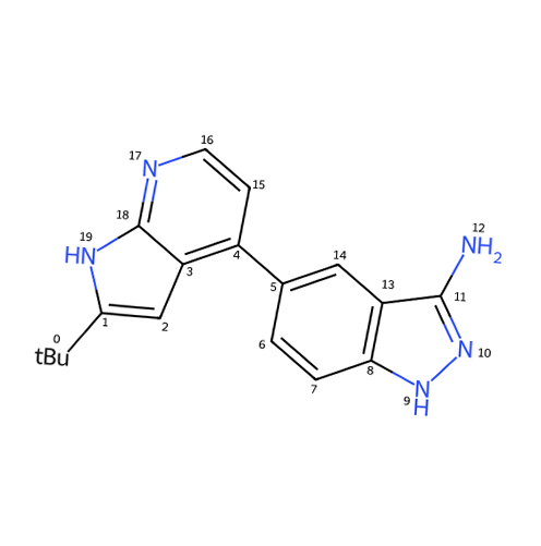 CC(C)(C)c1cc2c(-c3ccc4[nH]nc(N)c4c3)ccnc2[nH]1